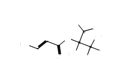 C/C=C/C(=O)OC(C)(C(F)F)C(F)(F)F